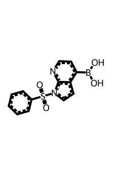 O=S(=O)(c1ccccc1)n1ccc2c(B(O)O)ccnc21